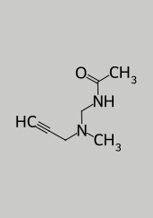 C#CCN(C)CNC(C)=O